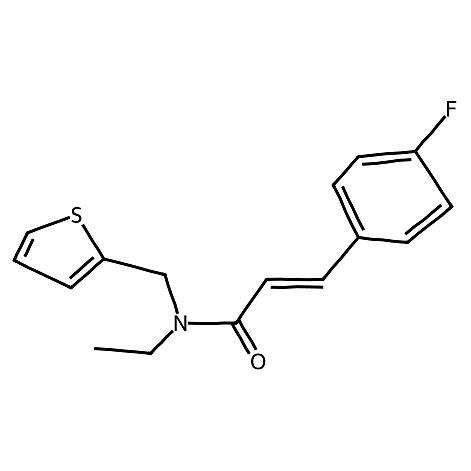 CCN(Cc1cccs1)C(=O)C=Cc1ccc(F)cc1